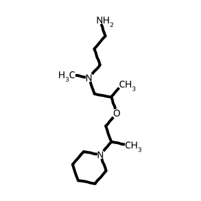 CC(CN(C)CCCN)OCC(C)N1CCCCC1